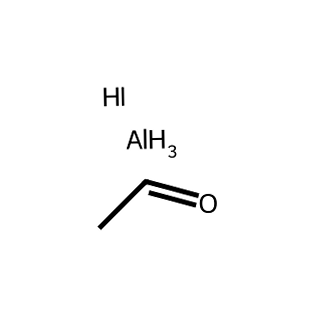 CC=O.I.[AlH3]